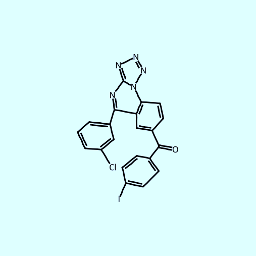 O=C(c1ccc(I)cc1)c1ccc2c(c1)c(-c1cccc(Cl)c1)nc1nnnn12